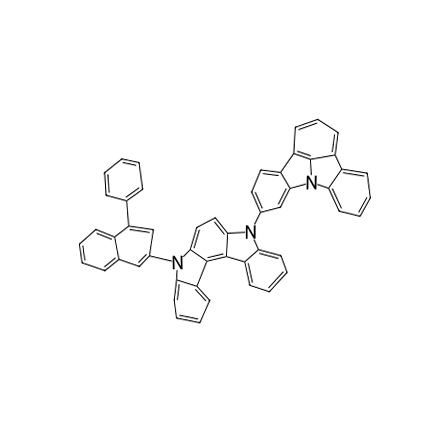 c1ccc(-c2cc(-n3c4ccccc4c4c5c6ccccc6n(-c6ccc7c8cccc9c%10ccccc%10n(c7c6)c98)c5ccc43)cc3ccccc23)cc1